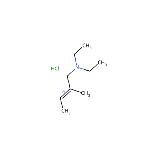 C/C=C(\C)CN(CC)CC.Cl